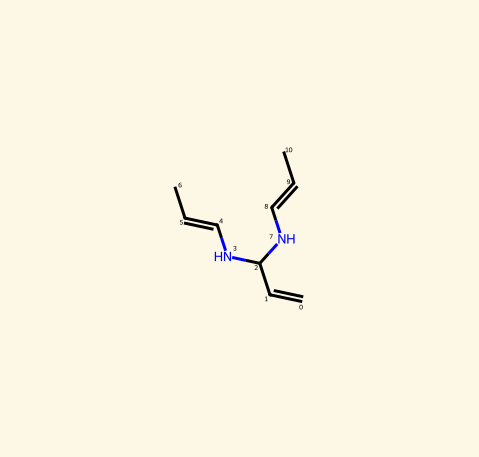 C=CC(NC=CC)NC=CC